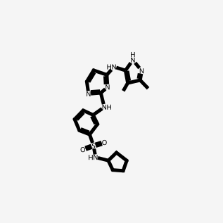 Cc1n[nH]c(Nc2ccnc(Nc3cccc(S(=O)(=O)NC4CCCC4)c3)n2)c1C